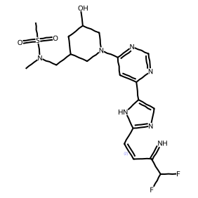 CN(CC1CC(O)CN(c2cc(-c3cnc(/C=C\C(=N)C(F)F)[nH]3)ncn2)C1)S(C)(=O)=O